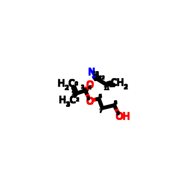 C=C(C)C(=O)OCCCO.C=CC#N